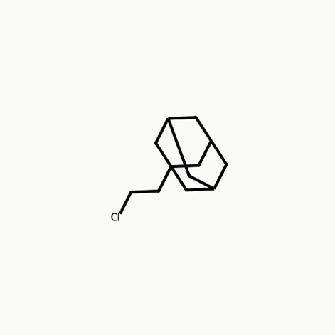 ClCCC12CC3CC(CC(C3)C1)C2